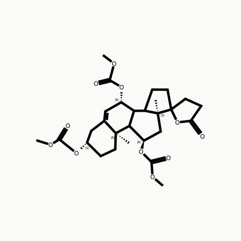 COC(=O)O[C@H]1CC[C@@]2(C)C(=C[C@H](OC(=O)OC)C3C2[C@H](OC(=O)OC)C[C@@]2(C)C3CCC23CCC(=O)O3)C1